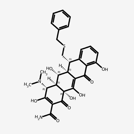 CN(C)[C@H]1C(O)=C(C(N)=O)C(=O)[C@]2(O)C(O)=C3C(=O)c4c(O)cccc4[C@@H](CSCc4ccccc4)[C@@H]3[C@@H](O)[C@H]12